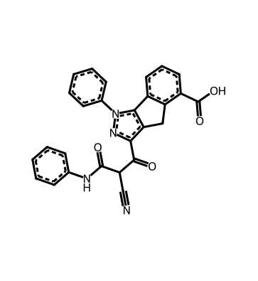 N#CC(C(=O)Nc1ccccc1)C(=O)c1nn(-c2ccccc2)c2c1Cc1c(C(=O)O)cccc1-2